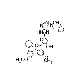 COc1ccc(C(OC[C@H]2O[C@@H](c3nc4c(N(C)Cc5ccccc5)ncnc4[nH]3)C[C@@H]2O)(c2ccccc2)c2ccc(OC)cc2)cc1